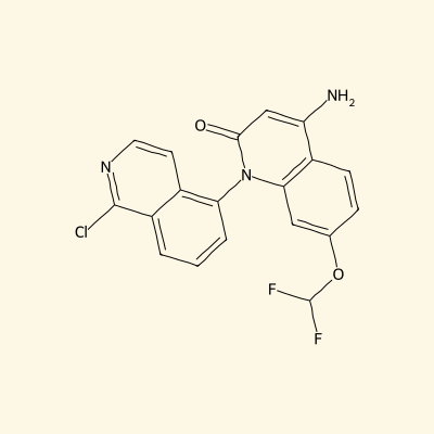 Nc1cc(=O)n(-c2cccc3c(Cl)nccc23)c2cc(OC(F)F)ccc12